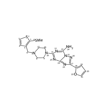 CSc1sccc1CN1CCN(c2nc(N)n3nc(-c4ccco4)nc3n2)CC1